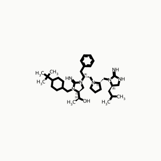 CC(C)C[C@@H]1CNC(=N)N1C[C@@H]1CCCN1C[C@@H](Cc1ccccc1)N1C[C@@H]([C@H](C)O)N(CC2CCC(C(C)(C)C)CC2)C1=N